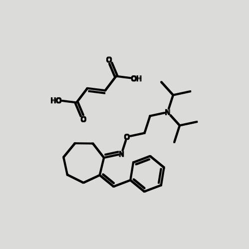 CC(C)N(CCO/N=C1\CCCCC\C1=C\c1ccccc1)C(C)C.O=C(O)/C=C/C(=O)O